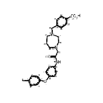 Cc1ccc(Oc2ccc(NC(=O)CN3CCCN(Cc4ccc(C(=O)O)cc4)CC3)cc2)cc1